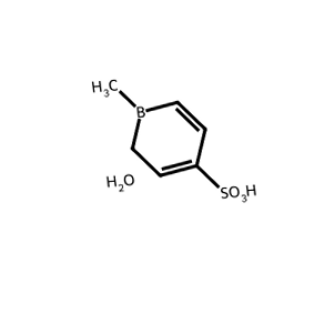 CB1C=CC(S(=O)(=O)O)=CC1.O